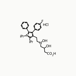 CC(C)c1c(CCN(O)CC(O)CC(=O)O)c(-c2ccc(F)cc2)c(-c2ccccc2)n1C(C)C.Cl